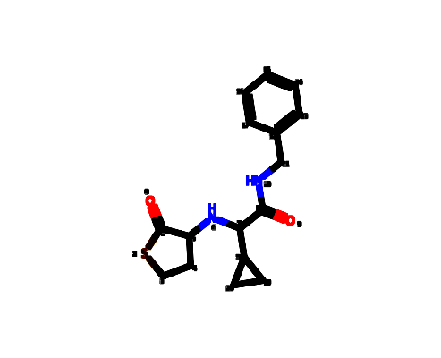 O=C1SCCC1NC(C(=O)NCc1ccccc1)C1CC1